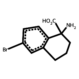 NC1(C(=O)O)CCCc2cc(Br)ccc21